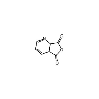 O=C1OC(=O)C2N=CC=CC12